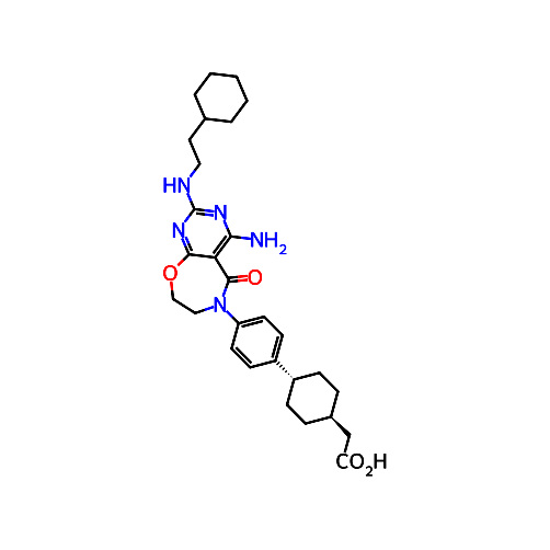 Nc1nc(NCCC2CCCCC2)nc2c1C(=O)N(c1ccc([C@H]3CC[C@H](CC(=O)O)CC3)cc1)CCO2